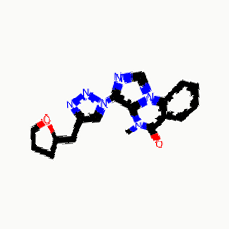 Cn1c(=O)c2ccccc2n2cnc(-n3cc(CC4CCCO4)nn3)c12